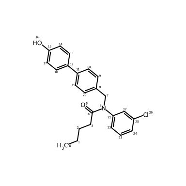 CCCCC(=O)N(Cc1ccc(-c2ccc(O)cc2)cc1)c1cccc(Cl)c1